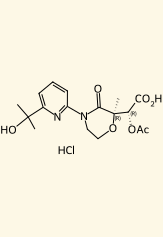 CC(=O)O[C@@H](C(=O)O)[C@@]1(C)OCCN(c2cccc(C(C)(C)O)n2)C1=O.Cl